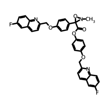 CN1OC1(C(=O)Oc1ccc(OCc2ccc3cc(F)ccc3n2)cc1)c1ccc(OCc2ccc3cc(F)ccc3n2)cc1